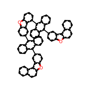 c1ccc2c(c1)ccc1oc3ccc(-c4c5ccccc5c(-c5ccc6oc7cccc(-c8c9ccccc9c(-c9ccc%10oc%11ccc%12ccccc%12c%11c%10c9)c9ccccc89)c7c6c5)c5ccccc45)cc3c12